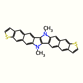 Cn1c2cc3cc4sccc4cc3cc2c2c1c1cc3cc4ccsc4cc3cc1n2C